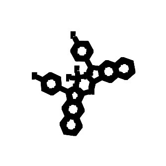 Fc1ccc(C2=[N+]3C(=Nc4c5cc6ccccc6cc5c(-c5ccc(F)cc5)n4[N+]3(F)F)c3cc4ccccc4cc32)cc1